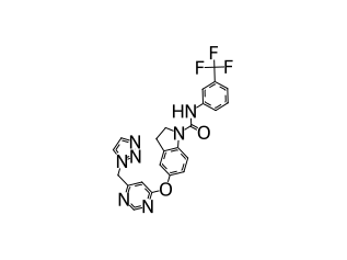 O=C(Nc1cccc(C(F)(F)F)c1)N1CCc2cc(Oc3cc(Cn4ccnn4)ncn3)ccc21